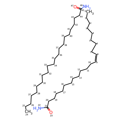 CCCCCCCC/C=C\CCCCCCCCCCCC(N)=O.CCCCCCCCCCCCCCCCCCCCCC(N)=O